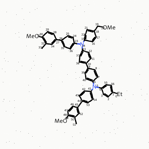 CCc1ccc(N(c2ccc(-c3ccc(N(c4ccc(COC)cc4)c4ccc(-c5ccc(OC)c(C)c5)cc4)cc3)cc2)c2ccc(-c3ccc(OC)c(C)c3)cc2)cc1